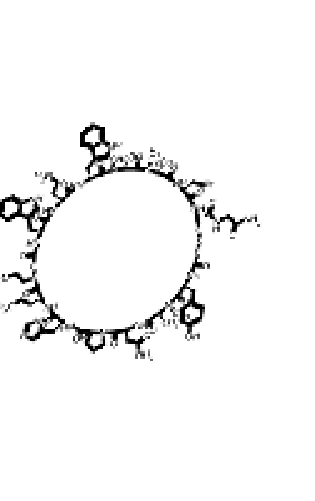 CCCC[C@H]1C(=O)N(C)[C@@H](CCCC)C(=O)N[C@@H](CC(C)C)C(=O)N[C@H](C(=O)NCC(N)=O)CSCC(=O)N[C@@H](Cc2ccc(O)cc2)C(=O)N(C)[C@@H](C)C(=O)N[C@@H](CC(N)=O)C(=O)N2CCC[C@H]2C(=O)N[C@@H](Cc2cnc[nH]2)C(=O)N[C@@H](CCC(=O)O)C(=O)N(CCC(F)(F)F)CC(=O)N[C@@H](Cc2c[nH]c3ccccc23)C(=O)N[C@@H](CCN)C(=O)N[C@@H](Cc2c[nH]c3ccccc23)C(=O)N1C